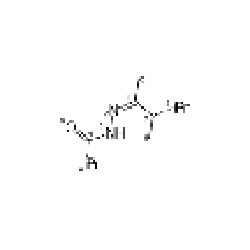 CC(=NNC(=O)C(C)C)C(C)C(C)C